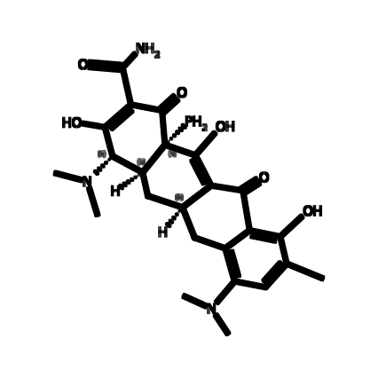 Cc1cc(N(C)C)c2c(c1O)C(=O)C1=C(O)[C@]3(P)C(=O)C(C(N)=O)=C(O)[C@@H](N(C)C)[C@@H]3C[C@@H]1C2